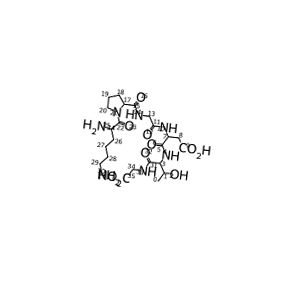 CC(O)C(NC(=O)C(CC(=O)O)NC(=O)CNC(=O)C1CCCN1C(=O)C(N)CCCCN)C(=O)NCC(=O)O